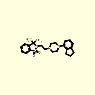 CC1(C)c2ccccc2S(=O)(=O)N1CCN1CCN(c2cccc3c2CCC3)CC1